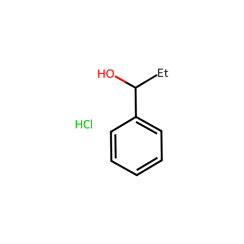 CCC(O)c1ccccc1.Cl